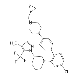 Cc1cnn(C2CCCN(c3cc(Cl)ccc3-c3ccc(N4CCN(CC5CC5)CC4)cc3)C2)c1C(F)(F)F